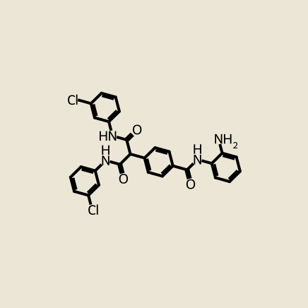 Nc1ccccc1NC(=O)c1ccc(C(C(=O)Nc2cccc(Cl)c2)C(=O)Nc2cccc(Cl)c2)cc1